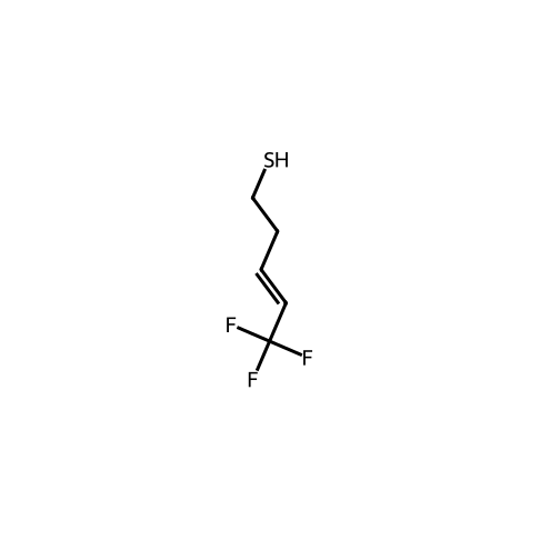 FC(F)(F)C=CCCS